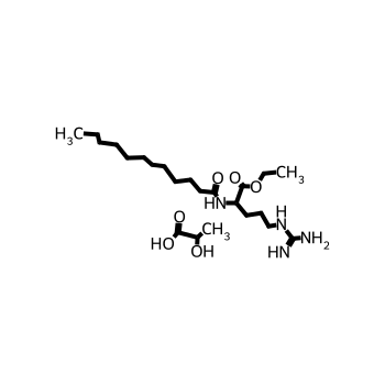 CC(O)C(=O)O.CCCCCCCCCCCC(=O)NC(CCCNC(=N)N)C(=O)OCC